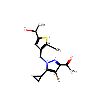 COC(=O)c1nn(Cc2cc(C(O)OC)sc2C)c(C2CC2)c1Br